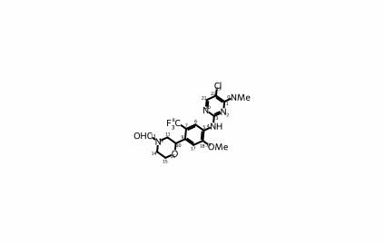 CNc1nc(Nc2cc(C(F)(F)F)c(C3CN(C=O)CCO3)cc2OC)ncc1Cl